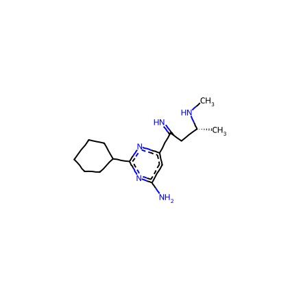 CN[C@H](C)CC(=N)c1cc(N)nc(C2CCCCC2)n1